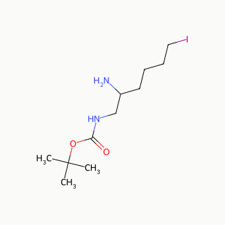 CC(C)(C)OC(=O)NCC(N)CCCCI